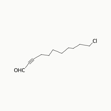 O=CC#CCCCCCCCCCl